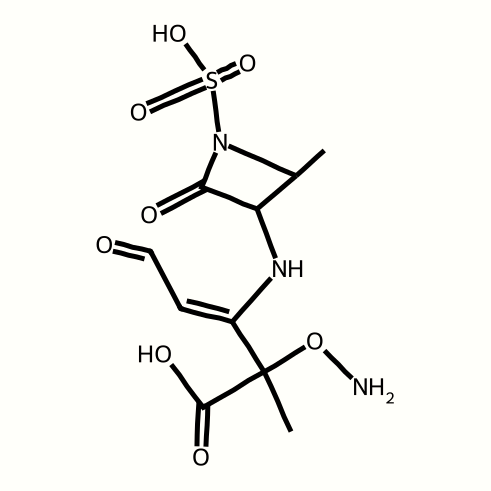 CC1C(NC(=CC=O)C(C)(ON)C(=O)O)C(=O)N1S(=O)(=O)O